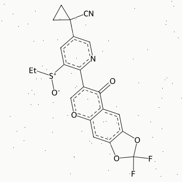 CC[S+]([O-])c1cc(C2(C#N)CC2)cnc1-c1coc2cc3c(cc2c1=O)OC(F)(F)O3